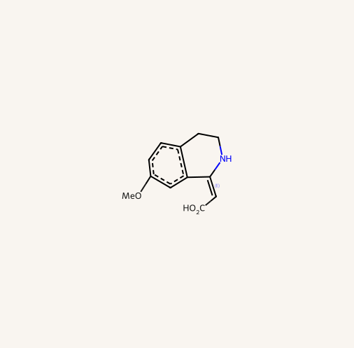 COc1ccc2c(c1)/C(=C\C(=O)O)NCC2